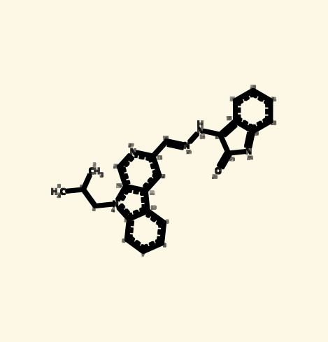 CC(C)Cn1c2ccccc2c2cc(C=NNC3=c4ccccc4=NC3=O)ncc21